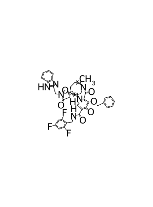 C[C@H]1CC[C@]2(CC(=O)N(Cc3nc4ccccc4[nH]3)O2)[C@H]2CN1C(=O)c1c(OCc3ccccc3)c(=O)c(C(=O)NCc3c(F)cc(F)cc3F)cn12